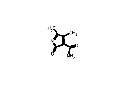 CC1=NC(=O)C(C(N)=O)=C1C